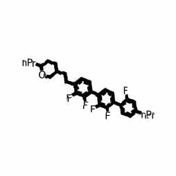 CCCc1ccc(-c2ccc(-c3ccc(CCC4CCC(CCC)OC4)c(F)c3F)c(F)c2F)c(F)c1